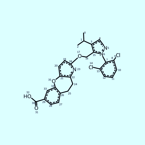 CC(C)c1cnn(-c2c(Cl)cccc2Cl)c1COc1ccc2c(n1)CCc1ccc(C(=O)O)cc1O2